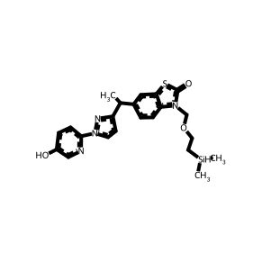 CC(c1ccc2c(c1)sc(=O)n2COCC[SiH](C)C)c1ccn(-c2ccc(O)cn2)n1